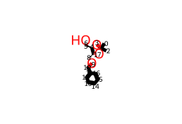 CC1(C)O[C@H](CO)[C@@H](COCc2ccccc2)O1